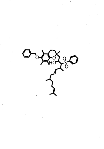 CC(C)=CCCC(C)CC=CC(C)C(C(O)CC1(C)CCc2c(C)c(OCc3ccccc3)c(C)c(C)c2O1)S(=O)(=O)c1ccccc1